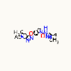 CC(=O)N1Cc2ncnc(Oc3ccc4c(ccn4C(=O)Nc4cc(C5CC5)n(C)n4)c3)c2CC1C